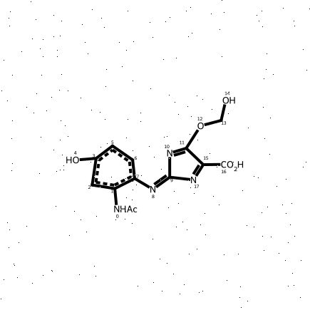 CC(=O)Nc1cc(O)ccc1N=C1N=C(OCO)C(C(=O)O)=N1